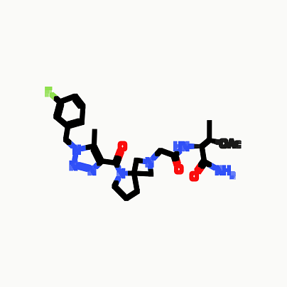 CC(=O)O[C@H](C)[C@H](NC(=O)CN1CC2(CCCN2C(=O)c2nnn(Cc3cccc(F)c3)c2C)C1)C(N)=O